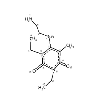 CCn1c(NCCN)c(C)c(=O)n(CC)c1=O